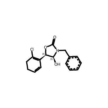 O=C1O[C@H](C2=C(Cl)CCC=C2)[C@H](O)N1Cc1ccccc1